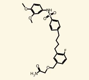 COc1ccc(NS(=O)(=O)c2ccc(CCCCc3cc(COCC(N)=O)ccc3F)cc2)cc1OC